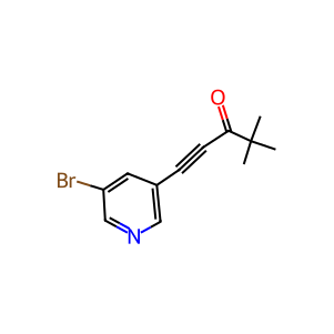 CC(C)(C)C(=O)C#Cc1cncc(Br)c1